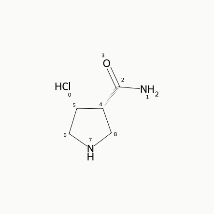 Cl.NC(=O)[C@H]1CCNC1